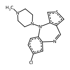 CN1CCN(N2c3cscc3C=Nc3cc(Cl)ccc32)CC1